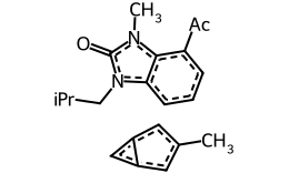 CC(=O)c1cccc2c1n(C)c(=O)n2CC(C)C.Cc1cc2cc-2c1